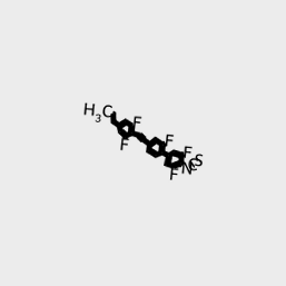 CCCc1cc(F)c(C#Cc2ccc(-c3cc(F)c(N=C=S)c(F)c3)c(F)c2)c(F)c1